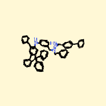 c1ccc(CN(Cc2cccc(Nc3cc4c(cc3-c3ccccc3)-c3ccccc3C4(c3ccccc3)c3ccccc3)c2)N2NC2c2ccc(-c3ccccc3)cc2)cc1